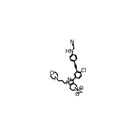 CS(=O)(=O)N1CCc2c(c(-c3ccc(Cl)c(C#Cc4ccc(NCC#N)cc4)c3)nn2CCCN2CCOCC2)C1